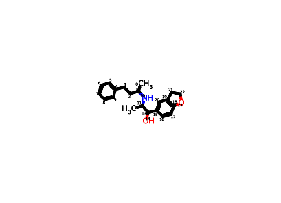 CC(CCc1ccccc1)NC(C)C(O)c1ccc2c(c1)CCO2